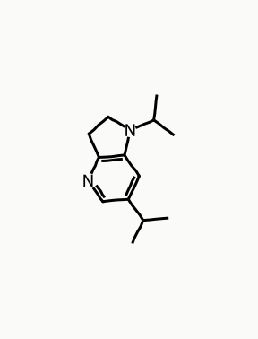 CC(C)c1cnc2c(c1)N(C(C)C)CC2